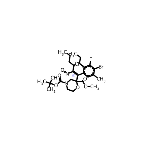 C=C(CCC)/C(N=O)=C(\c1cc(C)c(Br)c(F)c1CCC)C1(C(=O)OC)CN(C(=O)OC(C)(C)C)CCO1